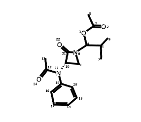 CC(=O)OC(C(C)C)N1C[C@H](N(C(C)=O)c2ccccc2)C1=O